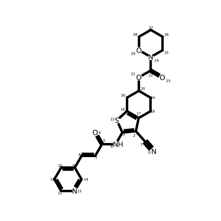 N#Cc1c(NC(=O)C=Cc2cccnc2)sc2c1CCC(OC(=O)N1CCCCO1)C2